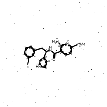 CNc1ccc(C(=O)NC(Cc2cccc(F)c2)c2cc[nH]c2)c(N)n1